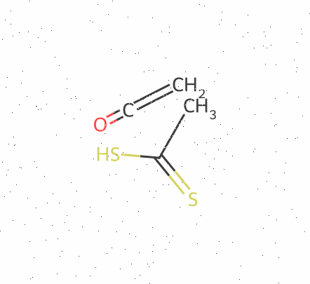 C=C=O.CC(=S)S